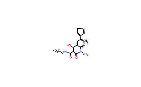 C=C(/C=c1/c(O)c(C(=O)NCC(=O)O)c(=O)n(C)/c1=C/N)c1ccccc1